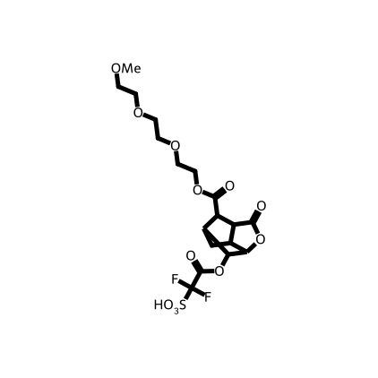 COCCOCCOCCOC(=O)C1C2CC3C(OC(=O)C31)C2OC(=O)C(F)(F)S(=O)(=O)O